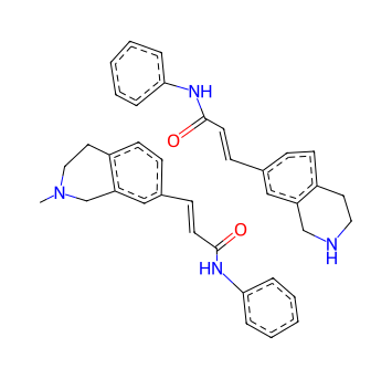 CN1CCc2ccc(C=CC(=O)Nc3ccccc3)cc2C1.O=C(C=Cc1ccc2c(c1)CNCC2)Nc1ccccc1